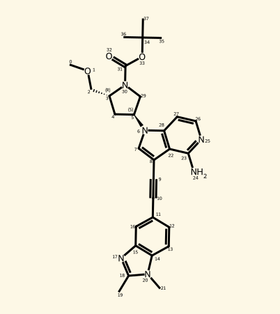 COC[C@H]1C[C@H](n2cc(C#Cc3ccc4c(c3)nc(C)n4C)c3c(N)nccc32)CN1C(=O)OC(C)(C)C